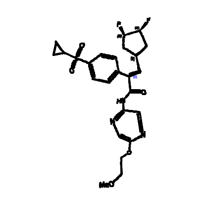 COCCOc1cnc(NC(=O)/C(=C/[C@H]2C[C@@H](F)[C@@H](F)C2)c2ccc(S(=O)(=O)C3CC3)cc2)cn1